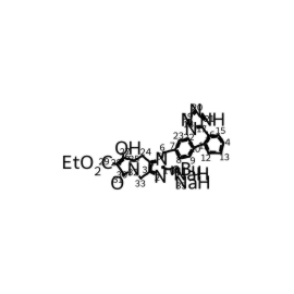 CCCCc1nc2c(n1Cc1ccc(-c3ccccc3-c3nnn[nH]3)cc1)CC1C(O)=C(C(=O)OCC)C(=O)N1C2.[NaH].[NaH]